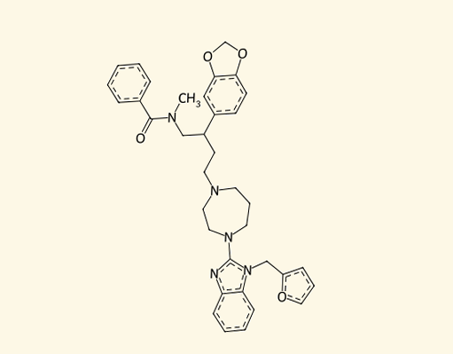 CN(CC(CCN1CCCN(c2nc3ccccc3n2Cc2ccco2)CC1)c1ccc2c(c1)OCO2)C(=O)c1ccccc1